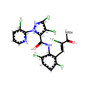 CNC(=O)/C(F)=C/c1c(Cl)ccc(Br)c1NC(=O)c1c(Br)c(Cl)nn1-c1ncccc1Cl